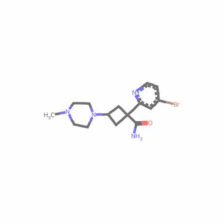 CN1CCN(C2CC(C(N)=O)(c3cc(Br)ccn3)C2)CC1